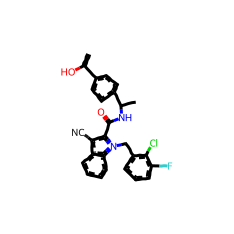 C=C(O)c1ccc(C(C)NC(=O)c2c(C#N)c3ccccc3n2Cc2cccc(F)c2Cl)cc1